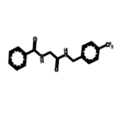 O=C(CNC(=O)c1ccccc1)NCc1ccc(C(F)(F)F)cc1